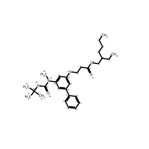 CCCCC(CC)COC(=O)CCSc1cc(-c2ccccc2)cc(N(C)C(=O)OC(C)(C)C)c1